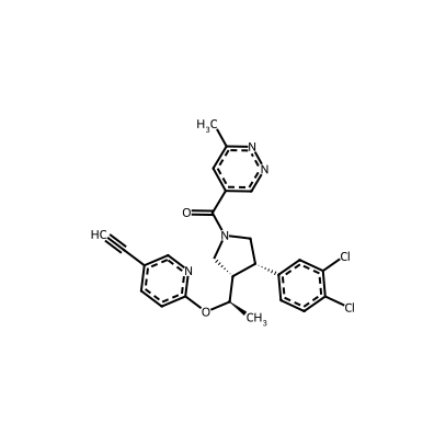 C#Cc1ccc(O[C@H](C)[C@@H]2CN(C(=O)c3cnnc(C)c3)C[C@@H]2c2ccc(Cl)c(Cl)c2)nc1